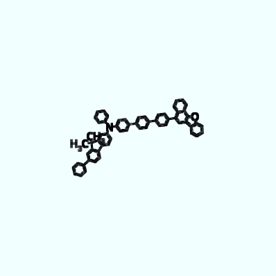 CC1(C)c2cc(-c3ccccc3)ccc2-c2ccc(N(c3ccccc3)c3ccc(-c4ccc(-c5ccc(-c6cc7c8ccccc8oc7c7ccccc67)cc5)cc4)cc3)cc21